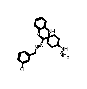 NNC1CCC2(CC1)Nc1ccccc1N=C2N=NCc1cccc(Cl)c1